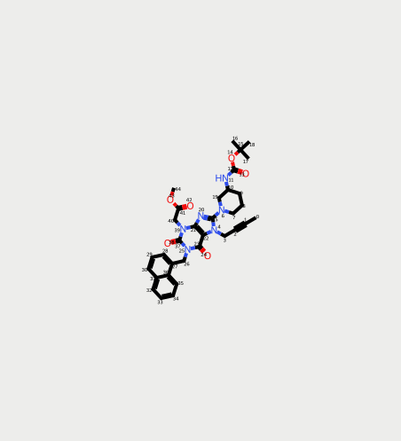 CC#CCn1c(N2CCCC(NC(=O)OC(C)(C)C)C2)nc2c1c(=O)n(Cc1cccc3ccccc13)c(=O)n2CC(=O)OC